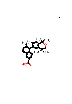 Cc1cc2c(cc1-c1c(C)ccc3cc(C(=O)O)ccc13)C(C)(C)COC2(C)C